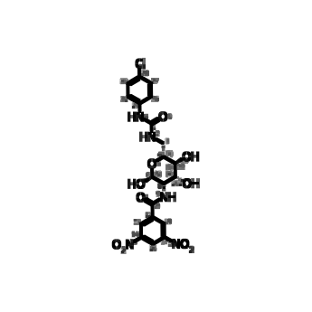 O=C(NC[C@H]1O[C@H](O)[C@@H](NC(=O)c2cc([N+](=O)[O-])cc([N+](=O)[O-])c2)[C@@H](O)[C@@H]1O)Nc1ccc(Cl)cc1